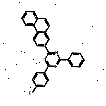 Brc1ccc(-c2nc(-c3ccccc3)nc(-c3ccc4c(ccc5ccccc54)c3)n2)cc1